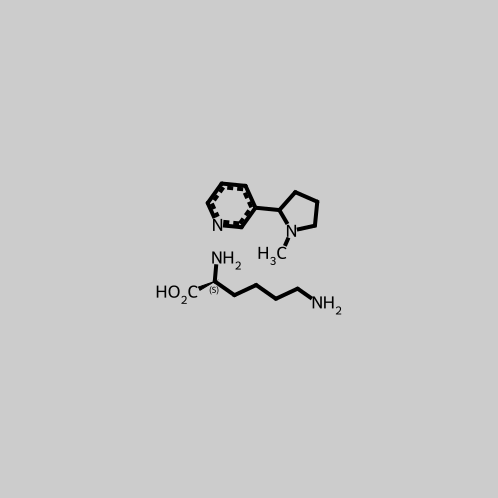 CN1CCCC1c1cccnc1.NCCCC[C@H](N)C(=O)O